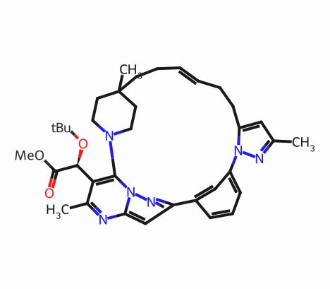 COC(=O)[C@@H](OC(C)(C)C)c1c(C)nc2cc3nn2c1N1CCC(C)(CC/C=C/CCc2cc(C)nn2-c2cccc-3c2)CC1